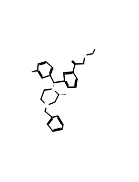 CCOC(=O)CNCC(=O)c1cccc([C@H](c2cccc(O)c2)N2C[C@@H](C)N(Cc3ccccc3)C[C@@H]2C)c1